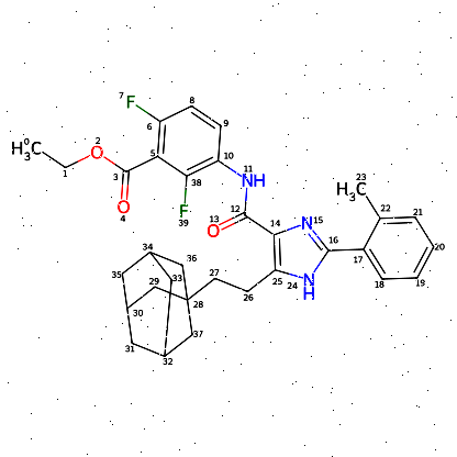 CCOC(=O)c1c(F)ccc(NC(=O)c2nc(-c3ccccc3C)[nH]c2CCC23CC4CC(CC(C4)C2)C3)c1F